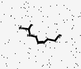 CC(C)CC/C=C\CNC(C)C(C)C